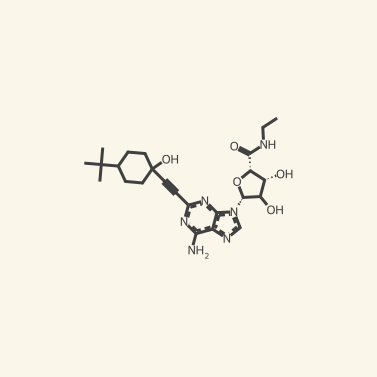 CCNC(=O)[C@H]1O[C@@H](n2cnc3c(N)nc(C#CC4(O)CCC(C(C)(C)C)CC4)nc32)C(O)[C@H]1O